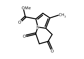 COC(=O)c1cc(C)c2n1C(=O)CC(=O)C2